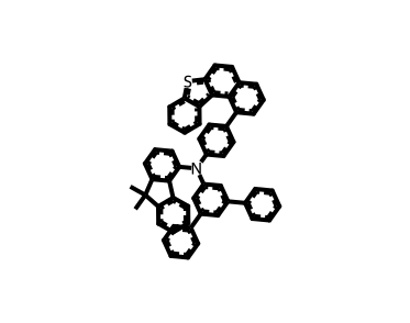 CC1(C)c2ccccc2-c2c(N(c3ccc(-c4cccc5ccc6sc7ccccc7c6c45)cc3)c3cc(-c4ccccc4)cc(-c4ccccc4)c3)cccc21